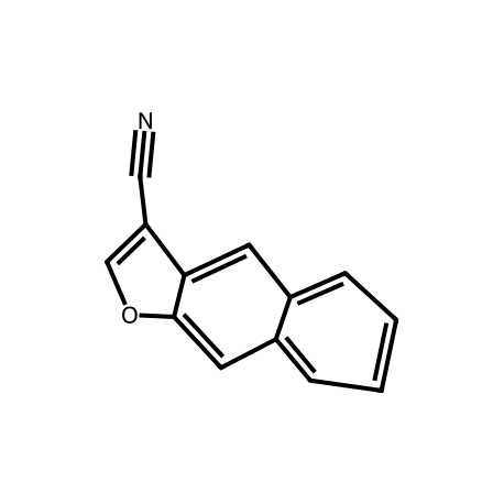 N#Cc1coc2cc3ccccc3cc12